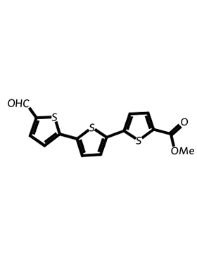 COC(=O)c1ccc(-c2ccc(-c3ccc(C=O)s3)s2)s1